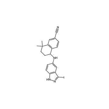 CC1(C)CCC(Nc2ccc3[nH]nc(I)c3c2)c2ccc(C#N)cc21